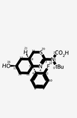 CC(C)(C)N(C(=O)O)C1=N[C@@]2(c3ccccc3F)CC[C@@H](O)C[C@H]2CS1